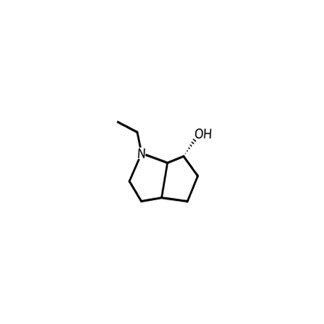 CCN1CCC2CC[C@@H](O)C21